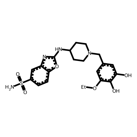 CCOc1cc(CN2CCC(Nc3nc4cc(S(N)(=O)=O)ccc4o3)CC2)cc(O)c1O